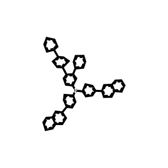 c1ccc(-c2ccc(-c3ccc(N(c4ccc(-c5ccc6ccccc6c5)cc4)c4ccc(-c5ccc6ccccc6c5)cc4)cc3-c3ccccc3)cc2)cc1